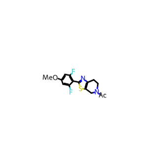 COc1cc(F)c(-c2nc3c(s2)CN(C(C)=O)CC3)c(F)c1